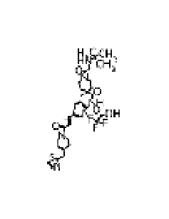 CC(C)(C)NCC(=O)N1CCC2(CC1)Cc1cc(/C=C/C(=O)N3CC=C(Cc4nccs4)CC3)cnc1NC2=O.O=C(O)C(F)(F)F